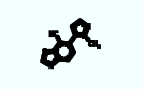 Cn1nccc1-c1ccc2ncsc2c1C#N